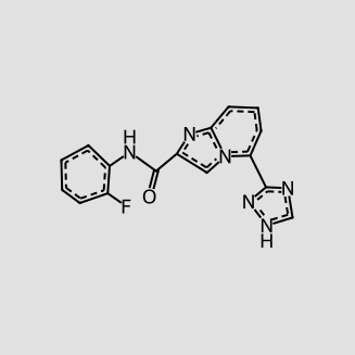 O=C(Nc1ccccc1F)c1cn2c(-c3nc[nH]n3)cccc2n1